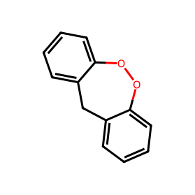 c1ccc2c(c1)Cc1ccccc1OO2